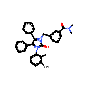 Cc1c(C#N)cccc1-n1c(-c2ccccc2)c(-c2ccccc2)n(Cc2cccc(C(=O)N(C)C)c2)c1=O